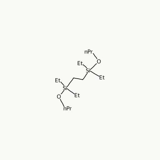 CCCO[Si](CC)(CC)CC[Si](CC)(CC)OCCC